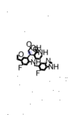 O=C(O)/C=C(\c1ccc[nH]c1=O)c1c(NCc2cc3nc[nH]c3cc2F)cc(F)c2ccoc12